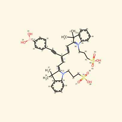 CC1(C)C(/C=C/C(C#Cc2ccc(B(O)O)cc2)=C/C=C2\N(CCCS(=O)(=O)O)c3ccccc3C2(C)C)=[N+](CCCS(=O)(=O)O)c2ccccc21